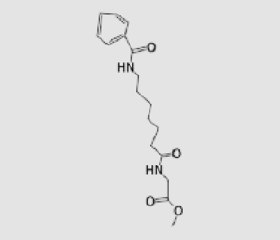 COC(=O)CNC(=O)CCCCCCNC(=O)c1ccccc1